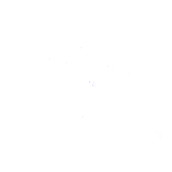 CCOC(=O)CNC(=O)c1cc(Br)sc1C(=O)OC